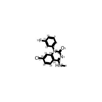 CNc1nc(=O)n(-c2cccc(F)c2)c2cc(Cl)ccc12